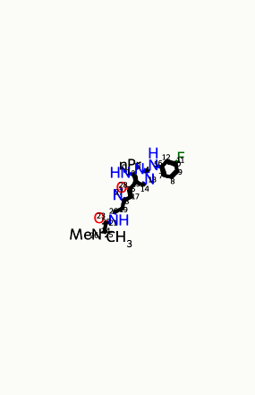 CCCNc1nc(Nc2cccc(F)c2)ncc1-c1cc(CCNC(=O)[C@H](C)NC)no1